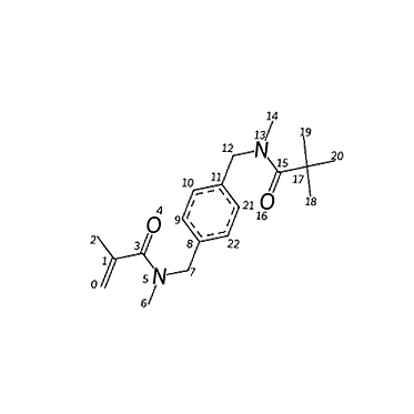 C=C(C)C(=O)N(C)Cc1ccc(CN(C)C(=O)C(C)(C)C)cc1